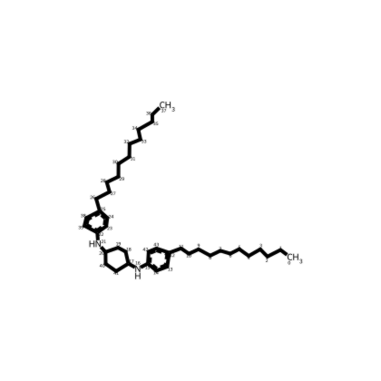 CCCCCCCCCCCCc1ccc(NC2CCC(Nc3ccc(CCCCCCCCCCCC)cc3)CC2)cc1